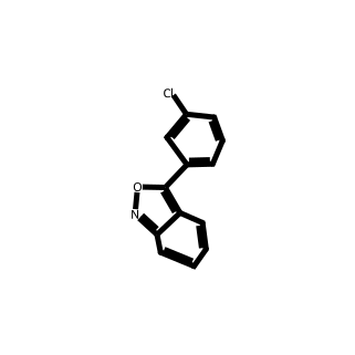 Clc1cccc(-c2onc3ccccc23)c1